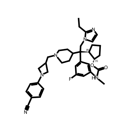 CCc1nccn1CC(c1cc(F)cc(F)c1)(C1CCN(CC2CN(c3ccc(C#N)cc3)C2)CC1)[C@H]1CCC[C@@H]1OC(=O)NC